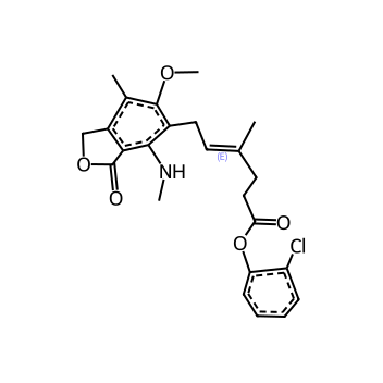 CNc1c(C/C=C(\C)CCC(=O)Oc2ccccc2Cl)c(OC)c(C)c2c1C(=O)OC2